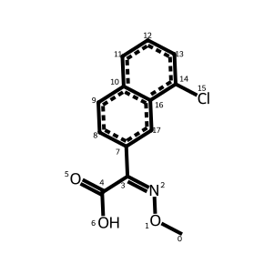 CON=C(C(=O)O)c1ccc2cccc(Cl)c2c1